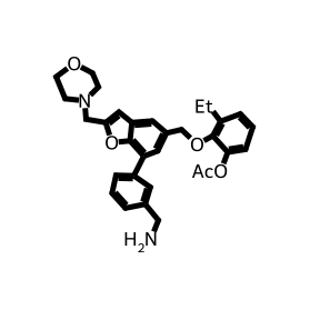 CCc1cccc(OC(C)=O)c1OCc1cc(-c2cccc(CN)c2)c2oc(CN3CCOCC3)cc2c1